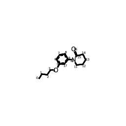 CCCCOc1cccc(N2CCCCC2=O)c1